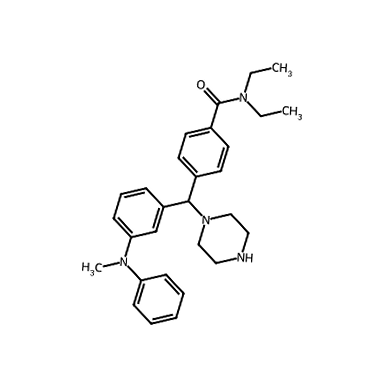 CCN(CC)C(=O)c1ccc(C(c2cccc(N(C)c3ccccc3)c2)N2CCNCC2)cc1